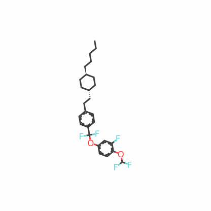 CCCCC[C@H]1CC[C@H](CCc2ccc(C(F)(F)Oc3ccc(OC(F)F)c(F)c3)cc2)CC1